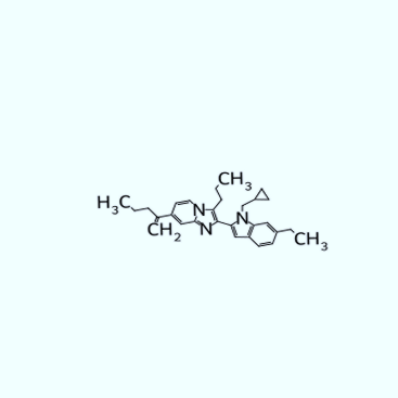 C=C(CCC)c1ccn2c(CCC)c(-c3cc4ccc(CC)cc4n3CC3CC3)nc2c1